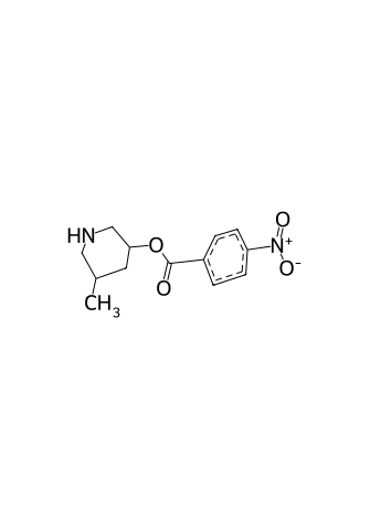 CC1CNCC(OC(=O)c2ccc([N+](=O)[O-])cc2)C1